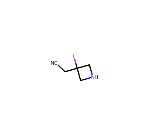 N#CCC1(I)CNC1